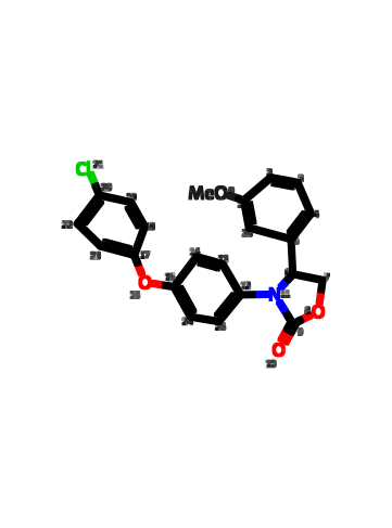 COc1cccc(C2COC(=O)N2c2ccc(Oc3ccc(Cl)cc3)cc2)c1